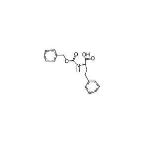 O=C(NC(CCc1ccccc1)C(=O)O)OCc1ccccc1